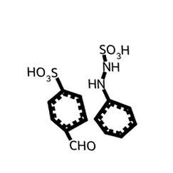 O=Cc1ccc(S(=O)(=O)O)cc1.O=S(=O)(O)NNc1ccccc1